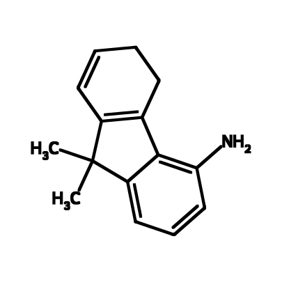 CC1(C)C2=C(CCC=C2)c2c(N)cccc21